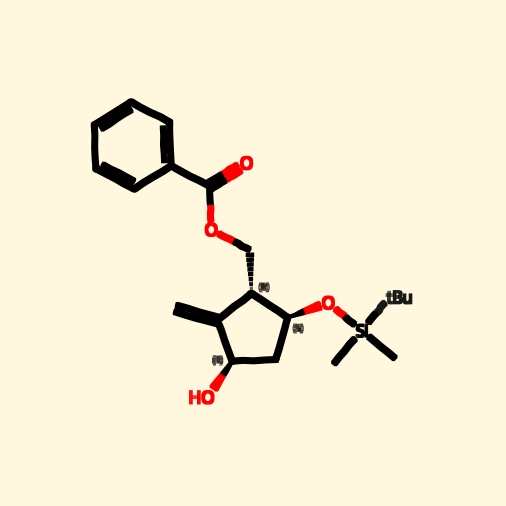 C=C1[C@H](O)C[C@H](O[Si](C)(C)C(C)(C)C)[C@H]1COC(=O)c1ccccc1